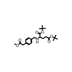 COC(=O)Cc1ccc(CNC(CCC(=O)OC(C)(C)C)C(=O)OC(C)(C)C)cc1